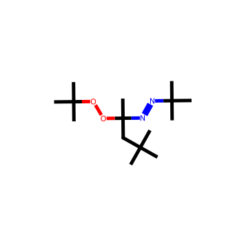 CC(C)(C)CC(C)(N=NC(C)(C)C)OOC(C)(C)C